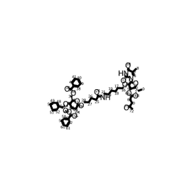 CC[C@H]1O[C@@H](n2cc(C)c(=O)[nH]c2=O)[C@@H](OCCCCCCNC(=O)CCCCO[C@@H]2O[C@H](COC(=O)c3ccccc3)[C@H](OC(=O)c3ccccc3)[C@H](OC(=O)c3ccccc3)[C@H]2C)C1OC(=O)CCC(C)=O